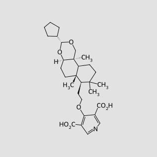 CC1(C)CCC2[C@]3(C)CO[C@@H](C4CCCC4)O[C@@H]3CC[C@@]2(C)[C@@H]1CCOc1c(C(=O)O)cncc1C(=O)O